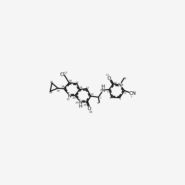 CC(Nc1ccc(C#N)n(C)c1=O)c1cc2cc(Cl)c(C3CC3)nc2[nH]c1=O